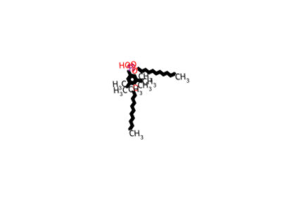 CCCCCCCCCCCCOc1c(C(C)(C)C)cc(CP(=O)(O)OCCCCCCCCCCCC)cc1C(C)(C)C